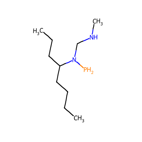 CCCCC(CCC)N(P)CNC